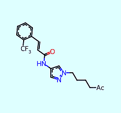 CC(=O)CCCCn1cc(NC(=O)C=Cc2ccccc2C(F)(F)F)cn1